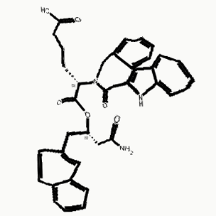 NC(=O)C[C@H](Cc1ccc2ccccc2c1)OC(=O)[C@H](CCCC(=O)O)N(Cc1ccccc1)C(=O)c1cc2ccccc2[nH]1